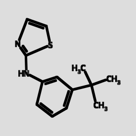 CC(C)(C)c1cccc(Nc2nccs2)c1